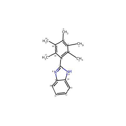 Cc1c(C)c(C)c(-c2nc3ccccc3[nH]2)c(C)c1C